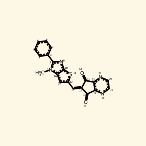 Cn1c(-c2ccccc2)nc2sc(C=C3C(=O)c4nccnc4C3=O)cc21